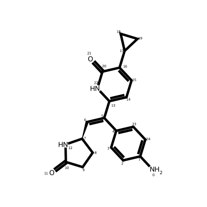 Nc1ccc(/C(=C\[C@H]2CCC(=O)N2)c2ccc(C3CC3)c(=O)[nH]2)cc1